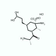 C[C@H](N)C(=O)N1C[C@@H](CCB(O)O)C[C@](N)(C(=O)O)[C@@H]1C.Cl.Cl